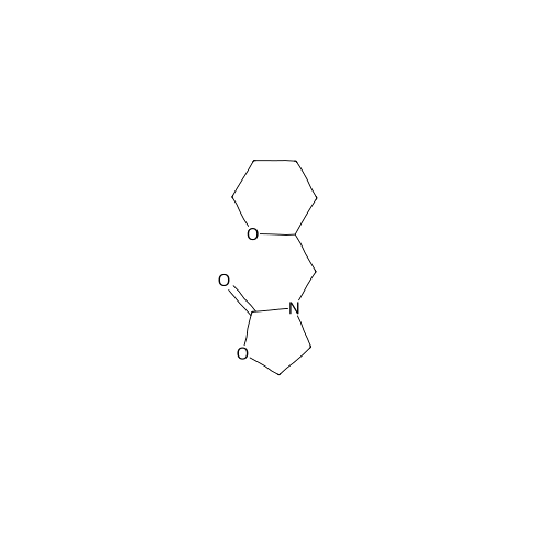 O=C1OCCN1CC1CCCCO1